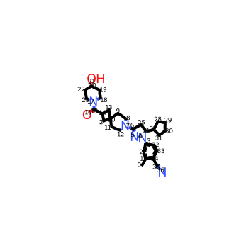 Cc1cc(N2N=C(N3CCC4(CC3)CC(C(=O)N3CCC(O)CC3)C4)CC2C2CCCC2)ccc1C#N